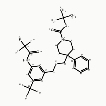 CC(C)(C)OC(=O)N1CCC(COCc2cc(NC(=O)C(F)(F)F)cc(C(F)(F)F)c2)(c2ccccc2)CC1